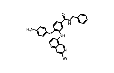 CC(C)c1cc2nccc(Nc3cc(C(=O)NCc4ccccc4)ccc3Sc3ccc(N)cc3)c2cn1